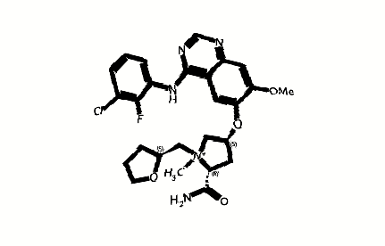 COc1cc2ncnc(Nc3cccc(Cl)c3F)c2cc1O[C@H]1C[C@H](C(N)=O)[N+](C)(C[C@@H]2CCCO2)C1